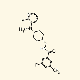 CN(c1cccnc1F)[C@H]1CC[C@@H](CNC(=O)c2cc(F)cc(C(F)(F)F)c2)CC1